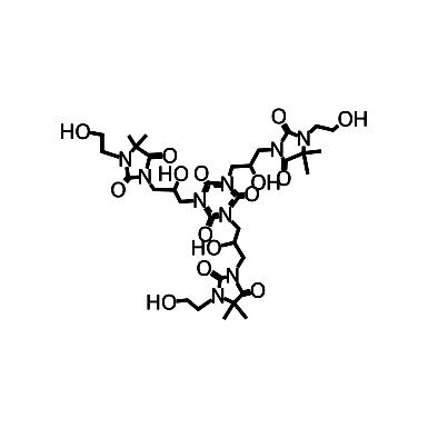 CC1(C)C(=O)N(CC(O)Cn2c(=O)n(CC(O)CN3C(=O)N(CCO)C(C)(C)C3=O)c(=O)n(CC(O)CN3C(=O)N(CCO)C(C)(C)C3=O)c2=O)C(=O)N1CCO